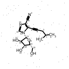 CC(C)CC#Cc1c(C#N)ncn1[C@@H]1O[C@H](CO)[C@@H](O)[C@H]1O